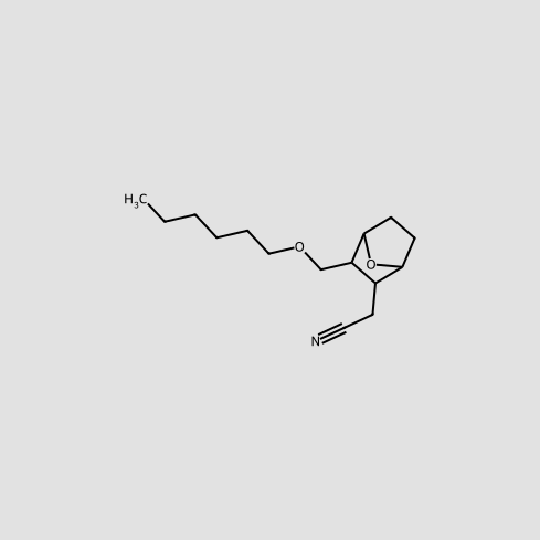 CCCCCCOCC1C2CCC(O2)C1CC#N